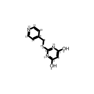 Oc1cc(O)nc(SCc2ccncc2)n1